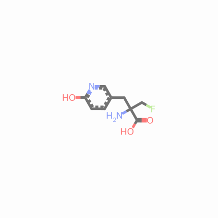 NC(CF)(Cc1ccc(O)nc1)C(=O)O